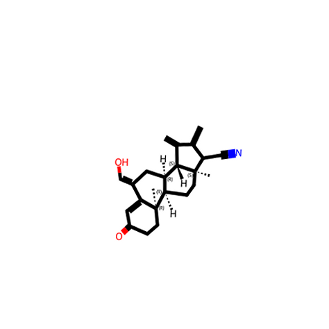 C=C1C(=C)[C@H]2[C@@H]3CC(=CO)C4=CC(=O)CC[C@]4(C)[C@@H]3CC[C@]2(C)C1C#N